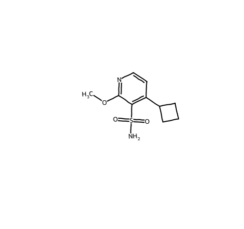 COc1nccc(C2CCC2)c1S(N)(=O)=O